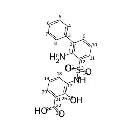 Nc1c(-c2ccccc2)cccc1S(=O)(=O)Nc1cccc(C(=O)O)c1O